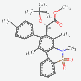 COC(=O)[C@@H](OC(C)(C)C)c1c(C)c2c(c(C)c1-c1ccc(C)cc1)-c1ccccc1S(=O)(=O)N2C